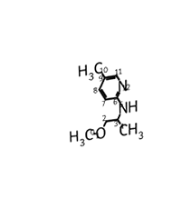 COCC(C)Nc1ccc(C)cn1